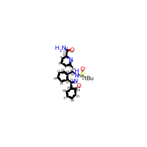 CC(C)(C)[S@+]([O-])N[C@@H](Cc1cccc(C(N)=O)n1)c1ccccc1-c1noc2ccccc12